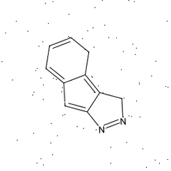 C1=CCC2=C3CN=NC3=CC2=C1